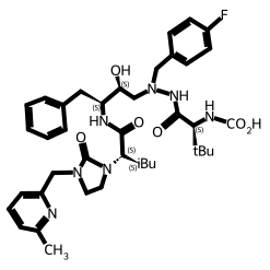 CC[C@H](C)[C@@H](C(=O)N[C@@H](Cc1ccccc1)[C@@H](O)CN(Cc1ccc(F)cc1)NC(=O)[C@@H](NC(=O)O)C(C)(C)C)N1CCN(Cc2cccc(C)n2)C1=O